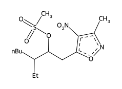 CCCCC(CC)C(Cc1onc(C)c1[N+](=O)[O-])OS(C)(=O)=O